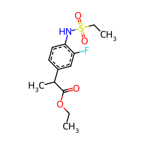 CCOC(=O)C(C)c1ccc(NS(=O)(=O)CC)c(F)c1